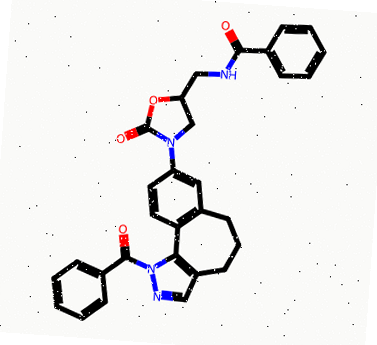 O=C(NCC1CN(c2ccc3c(c2)CCCc2cnn(C(=O)c4ccccc4)c2-3)C(=O)O1)c1ccccc1